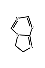 C1=NC=NC2=NCCN12